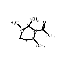 CC(=O)N1C(C)CCN(C)C1C